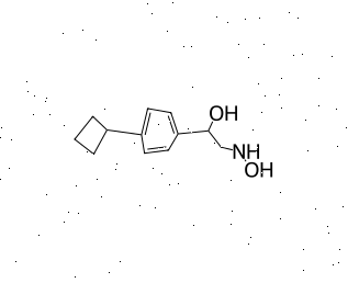 ONCC(O)c1ccc(C2CCC2)cc1